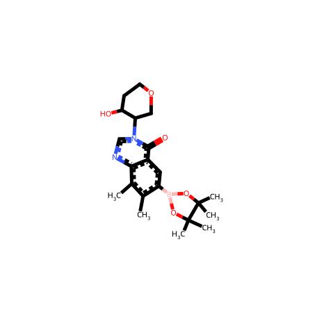 Cc1c(B2OC(C)(C)C(C)(C)O2)cc2c(=O)n(C3COCCC3O)cnc2c1C